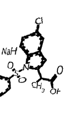 CC(C(=O)O)c1cc2cc(Cl)ccc2n1S(=O)(=O)c1ccccc1.[NaH]